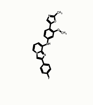 COc1cc(Nc2cccn3cc(-c4ccc(F)cc4)nc23)ccc1-c1cnc(C)o1